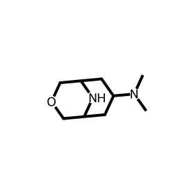 CN(C)C1CC2COCC(C1)N2